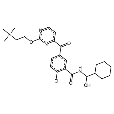 C[Si](C)(C)CCOc1nccc(C(=O)c2ccc(Cl)c(C(=O)NC(O)C3CCCCC3)c2)n1